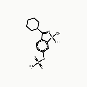 NS(=O)(=O)Oc1ccc2c(c1)S(O)(O)N=C2C1CCCCC1